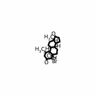 C[C@@H]1CC(=O)C(Br)[C@@H]2CC[C@@H]3[C@H](CC[C@]4(C)C(=O)CC[C@@H]34)[C@@]12C